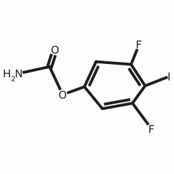 NC(=O)Oc1cc(F)c(I)c(F)c1